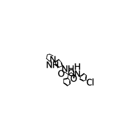 N=C1CCCCN1c1ccc(NC(=O)[C@@H](OC(=O)Nc2ccc(Cl)cc2)c2ccccc2)cc1